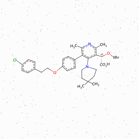 Cc1nc(C)c([C@H](OC(C)(C)C)C(=O)O)c(N2CCC(C)(C)CC2)c1-c1ccc(OCCc2ccc(Cl)cc2)cc1